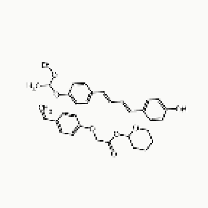 C=Cc1ccc(OCC(=O)OC2CCCCO2)cc1.CCOC(C)Oc1ccc(C=CC=Cc2ccc(O)cc2)cc1